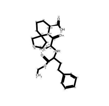 CCOC(=O)C(CCc1ccccc1)N[C@@H](C)C(=O)N1[C@H](C(=O)O)CCCC12CCOC2